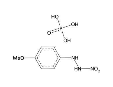 COc1ccc(NN[N+](=O)[O-])cc1.O=P(O)(O)O